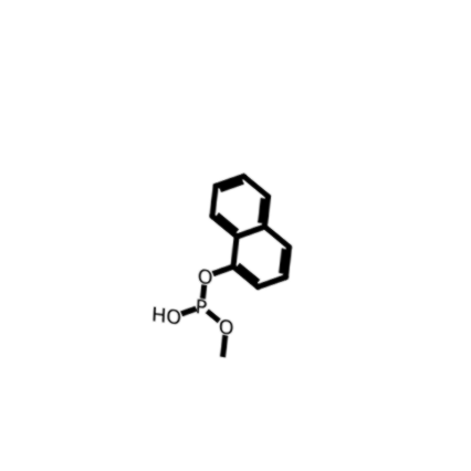 COP(O)Oc1cccc2ccccc12